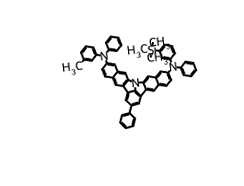 Cc1cccc(N(c2ccccc2)c2ccc3cc4c5cc(-c6ccccc6)cc6c7cc8ccc(N(c9ccccc9)c9cccc([Si](C)(C)C)c9)cc8cc7n(c4cc3c2)c56)c1